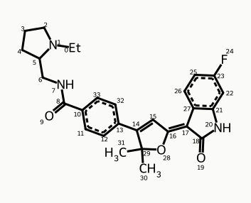 CCN1CCCC1CNC(=O)c1ccc(C2=CC(=C3C(=O)Nc4cc(F)ccc43)OC2(C)C)cc1